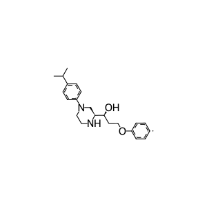 CC(C)c1ccc(N2CCN[C@H]([C@@H](O)CCOc3cc[c]cc3)C2)cc1